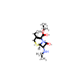 C[SiH2]N[C@@H]1C(=O)N2C(C(=O)O[SiH2]C)=C(COC(C)=O)CS[C@H]12